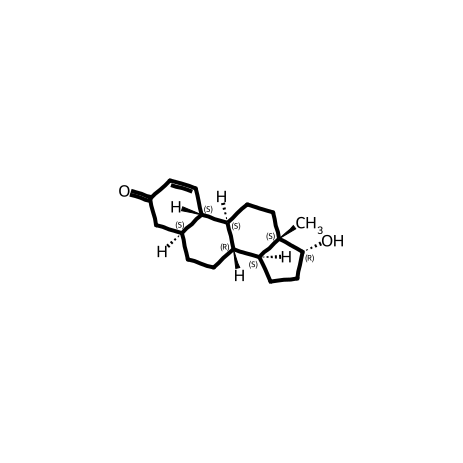 C[C@]12CC[C@@H]3[C@H]4C=CC(=O)C[C@@H]4CC[C@H]3[C@@H]1CC[C@H]2O